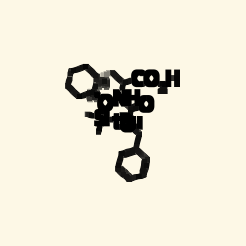 CC(C)(C)[Si](C)(C)O[C@H]1CCCC[C@@H]1CC(NC(=O)OCc1ccccc1)C(=O)O